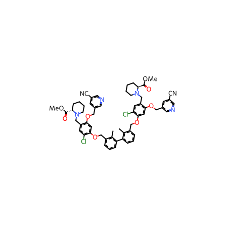 COC(=O)[C@@H]1CCCCN1Cc1cc(Cl)c(OCc2cccc(-c3cccc(COc4cc(OCc5cncc(C#N)c5)c(CN5CCCC[C@H]5C(=O)OC)cc4Cl)c3C)c2C)cc1OCc1cncc(C#N)c1